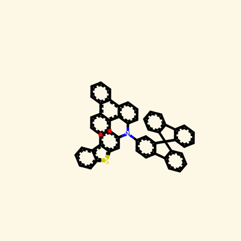 c1ccc2c(c1)-c1ccccc1C21c2ccccc2-c2ccc(N(c3ccc4c(c3)sc3ccccc34)c3cccc4c5ccccc5c5ccccc5c34)cc21